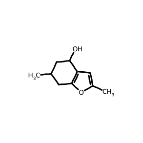 Cc1cc2c(o1)CC(C)CC2O